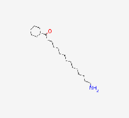 NCCCCCCCCCCCCCCC(=O)C1CCCCC1